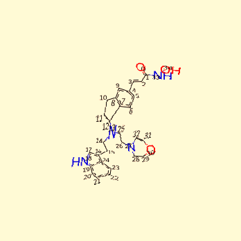 O=C(C=Cc1ccc2c(c1)CCC2N(CCc1c[nH]c2ccccc12)CCN1CCOCC1)NO